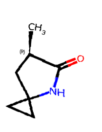 C[C@@H]1CC2(CC2)NC1=O